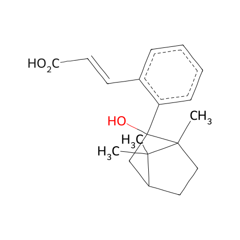 CC1(C)C2CCC1(C)C(O)(c1ccccc1C=CC(=O)O)C2